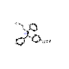 COc1ccc(/C(=C(/CCCl)c2ccccc2)c2ccccc2)cc1